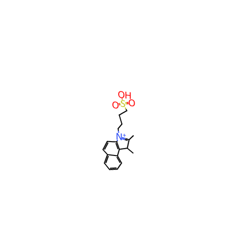 CC1=[N+](CCCCS(=O)(=O)O)c2ccc3ccccc3c2C1C